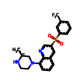 C[C@H]1CN(c2cccc3cc(S(=O)(=O)c4cccc(C(F)(F)F)c4)cnc23)CCN1